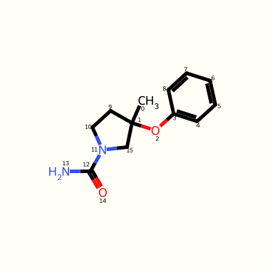 CC1(Oc2ccccc2)CCN(C(N)=O)C1